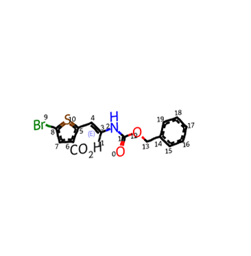 O=C(N/C(=C/c1ccc(Br)s1)C(=O)O)OCc1ccccc1